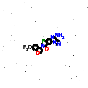 CN(C(=O)c1cc2c(cc1F)nc(N)c1cncn12)C1CCOc2cc(C(F)(F)F)ccc21